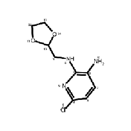 Nc1ccc(Cl)nc1NCC1OCCO1